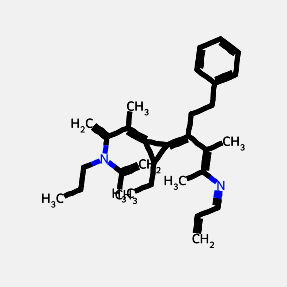 C=C\C=N/C(C)=C(C)/C(CCc1ccccc1)=C1/C(=C(\C)C(=C)N(CCC)C(=C)C)C1CC